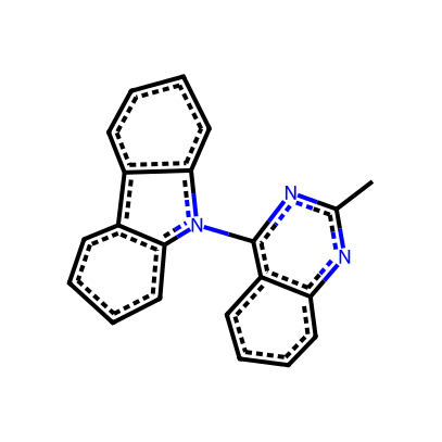 Cc1nc(-n2c3ccccc3c3ccccc32)c2ccccc2n1